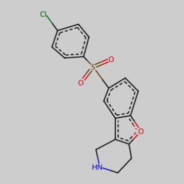 O=S(=O)(c1ccc(Cl)cc1)c1ccc2oc3c(c2c1)CNCC3